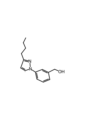 CCCCc1c[c]n(-c2cccc(CO)c2)n1